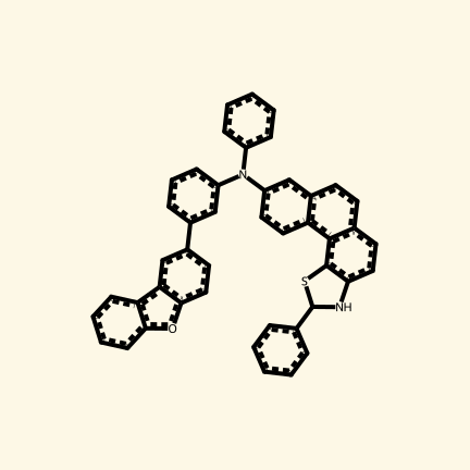 c1ccc(C2Nc3ccc4ccc5cc(N(c6ccccc6)c6cccc(-c7ccc8oc9ccccc9c8c7)c6)ccc5c4c3S2)cc1